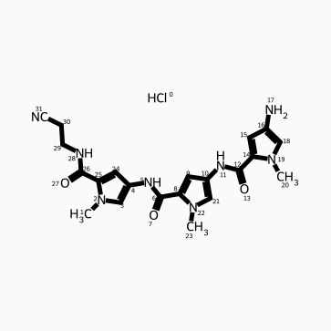 Cl.Cn1cc(NC(=O)c2cc(NC(=O)c3cc(N)cn3C)cn2C)cc1C(=O)NCCC#N